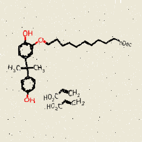 C=CC(=O)O.C=CC(=O)O.CCCCCCCCCCCCCCCCCCCCOc1cc(C(C)(C)c2ccc(O)cc2)ccc1O